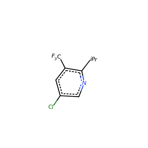 CC(C)c1ncc(Cl)cc1C(F)(F)F